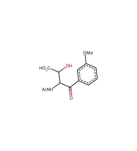 COc1cccc(C(=O)C(NC(C)=O)C(O)C(=O)O)c1